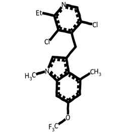 CCc1ncc(Cl)c(Cc2cn(C)c3cc(OC(F)(F)F)cc(C)c23)c1Cl